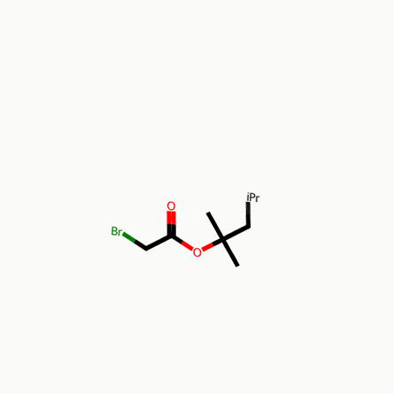 CC(C)CC(C)(C)OC(=O)CBr